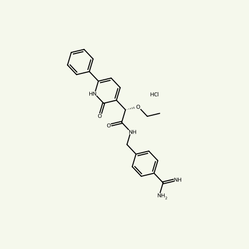 CCO[C@H](C(=O)NCc1ccc(C(=N)N)cc1)c1ccc(-c2ccccc2)[nH]c1=O.Cl